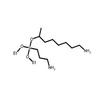 CCO[Si](CCCN)(OCC)OC(C)CCCCCCN